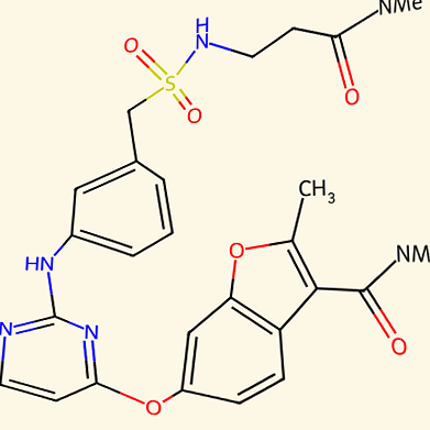 CNC(=O)CCNS(=O)(=O)Cc1cccc(Nc2nccc(Oc3ccc4c(C(=O)NC)c(C)oc4c3)n2)c1